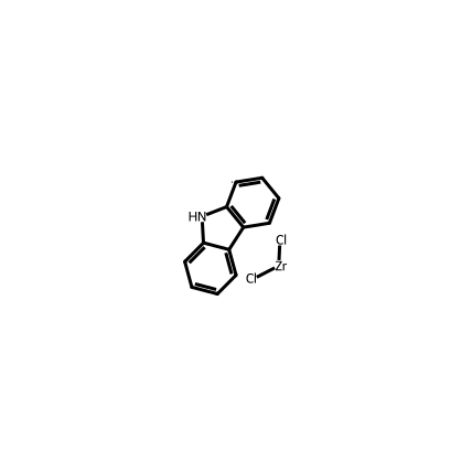 [Cl][Zr][Cl].[c]1cccc2c1[nH]c1ccccc12